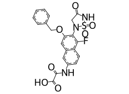 O=C1CN(c2c(OCc3ccccc3)cc3cc(NC(=O)C(=O)O)ccc3c2F)S(=O)(=O)N1